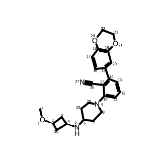 CO[C@H]1C[C@@H](NC2CCN(c3cccc(-c4ccc5c(c4)OCCO5)c3C#N)CC2)C1